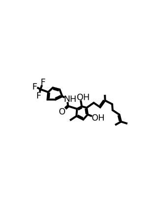 CC(C)=CCC/C(C)=C/Cc1c(O)cc(C)c(C(=O)Nc2ccc(C(F)(F)F)cc2)c1O